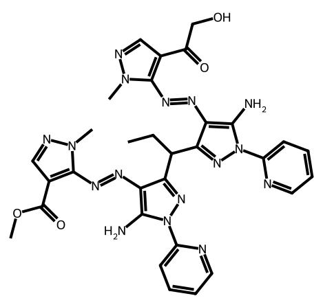 CCC(c1nn(-c2ccccn2)c(N)c1/N=N/c1c(C(=O)CO)cnn1C)c1nn(-c2ccccn2)c(N)c1/N=N/c1c(C(=O)OC)cnn1C